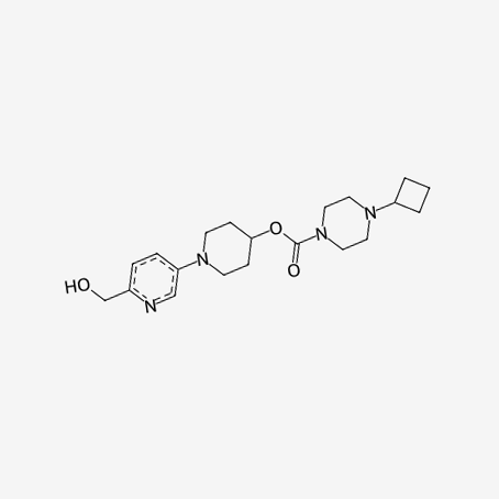 O=C(OC1CCN(c2ccc(CO)nc2)CC1)N1CCN(C2CCC2)CC1